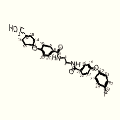 O=C(NCCNC(=O)c1ccc(O[C@H]2CC[C@@H](C(=O)O)CC2)cc1)c1ccc(Oc2ccc(F)cc2)cc1